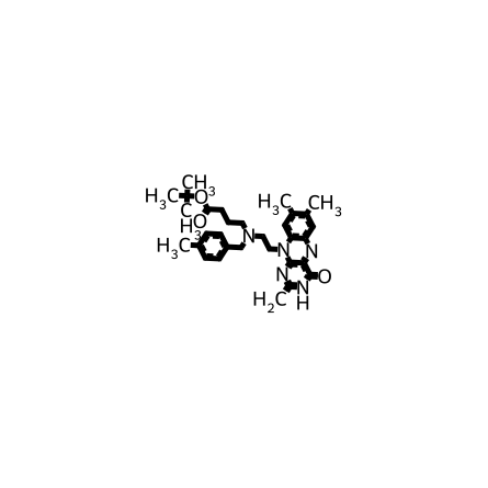 C=c1nc2c(c(=O)[nH]1)=Nc1cc(C)c(C)cc1N2CCN(CCCC(=O)OC(C)(C)C)Cc1ccc(C)cc1